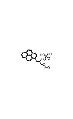 O=POCC(COP(=O)(O)O)Cc1ccc2ccc3cccc4ccc1c2c34